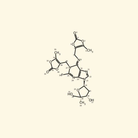 Cc1oc(=O)oc1C/N=c1/c2ncn([C@H]3C[C@H](O)[C@@](C)(CO)O3)c2nc(F)n1Cc1oc(=O)oc1C